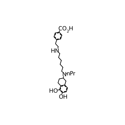 CCCN(CCCCCCNCCc1ccc(C(=O)O)cc1)C1CCc2c(ccc(O)c2O)C1